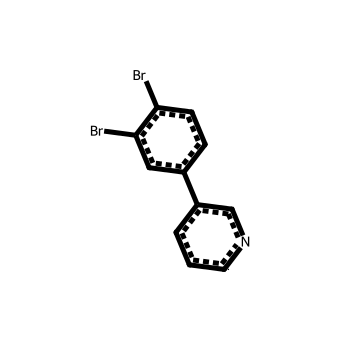 Brc1ccc(-c2cc[c]nc2)cc1Br